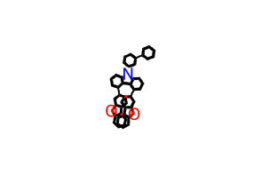 c1ccc(-c2cccc(-n3c4cccc(-c5ccc6c(c5)oc5ccccc56)c4c4c(-c5ccc6c(c5)oc5ccccc56)cccc43)c2)cc1